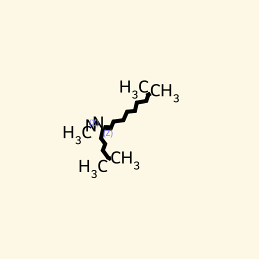 C/N=N\C(=C/CCCCCCC(C)C)CCCC(C)C